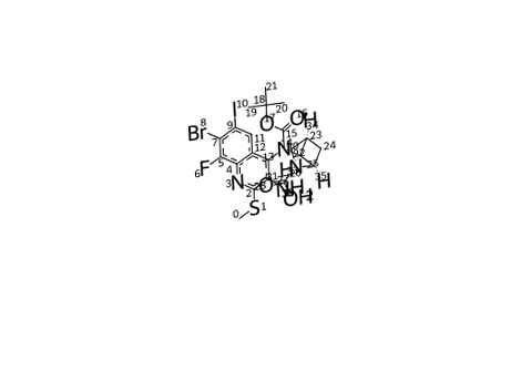 CSc1nc2c(F)c(Br)c(I)cc2c(N(C(=O)OC(C)(C)C)[C@H]2[C@@H]3C[C@H]2N(C(=O)O)C3)c1N